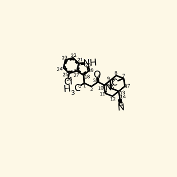 CC(CC(=O)N1CC2CC3CC1CC(C#N)(C3)C2)c1c[nH]c2cccc(Cl)c12